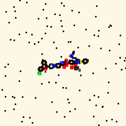 C#CN(C)CCC(CSc1ccccc1)Nc1ccc(S(=O)(=O)NC(=O)c2ccc(N3CCC([C@@H](O)c4ccccc4-c4ccc(Cl)cc4)CC3)cc2)cc1S(=O)(=O)C(F)(F)F